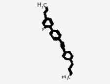 CCCCC1CC=C(C#Cc2ccc(-c3ccc(CCC)cc3F)cc2)CC1